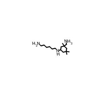 CC1(C)CC(NCCCCCCN)CC(C)(CN)C1